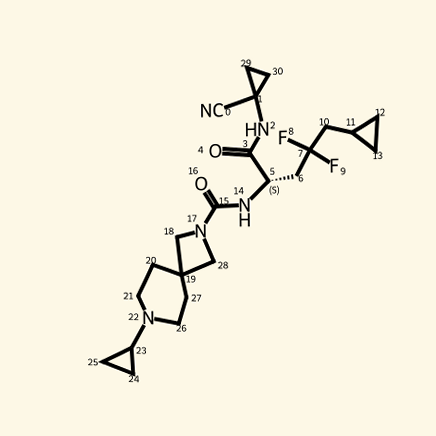 N#CC1(NC(=O)[C@H](CC(F)(F)CC2CC2)NC(=O)N2CC3(CCN(C4CC4)CC3)C2)CC1